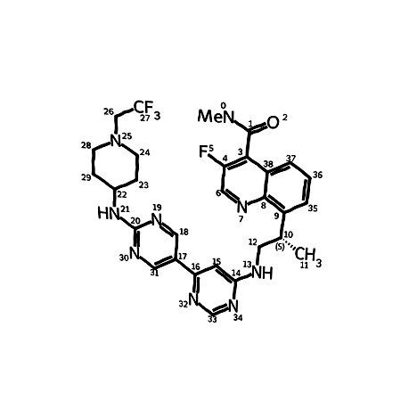 CNC(=O)c1c(F)cnc2c([C@H](C)CNc3cc(-c4cnc(NC5CCN(CC(F)(F)F)CC5)nc4)ncn3)cccc12